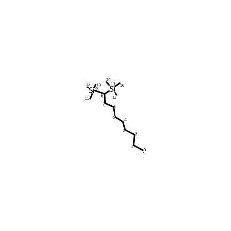 [CH2]CCCCCCCC([Si](C)(C)C)[Si](C)(C)C